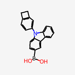 OB(O)c1ccc2c(c1)c1ccccc1n2-c1ccc2c(c1)CC2